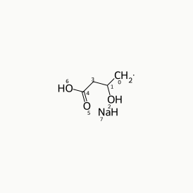 [CH2]C(O)CC(=O)O.[NaH]